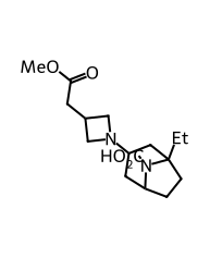 CCC12CCC(CC(N3CC(CC(=O)OC)C3)C1)N2C(=O)O